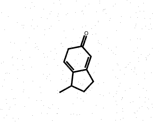 CC1CCC2=CC(=O)CC=C21